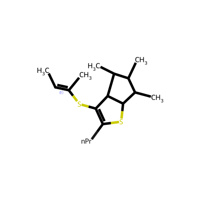 C/C=C(\C)SC1=C(CCC)SC2C(C)C(C)C(C)C12